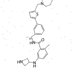 Cc1ccc(NC2CNC2)cc1C(=O)N[C@H](C)c1cccc(-c2ccc(CN3CCOCC3)s2)c1